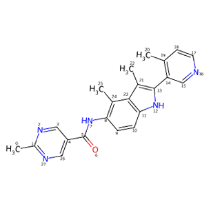 Cc1ncc(C(=O)Nc2ccc3[nH]c(-c4cnccc4C)c(C)c3c2C)cn1